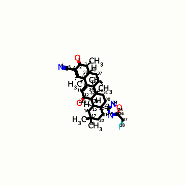 C[C@@H]1C(=O)C(C#N)=C[C@]2(C)C3=CC(=O)[C@@H]4[C@@H]5CC(C)(C)CC[C@]5(c5noc(CF)n5)CC[C@@]4(C)[C@]3(C)CC[C@@H]12